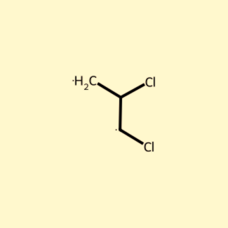 [CH2]C(Cl)[CH]Cl